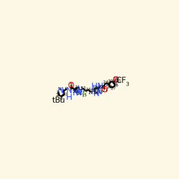 CC(C)(C)c1ccnc(CNC(=O)c2cn(CC(F)CCn3cc(NC(=O)Cc4cccc(OC(F)(F)F)c4)nn3)nn2)c1